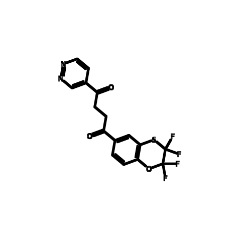 O=C(CCC(=O)c1ccc2c(c1)SC(F)(F)C(F)(F)O2)c1ccnnc1